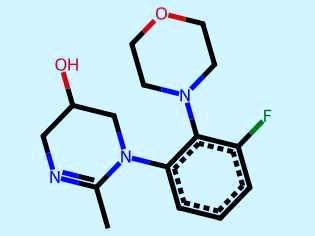 CC1=NCC(O)CN1c1cccc(F)c1N1CCOCC1